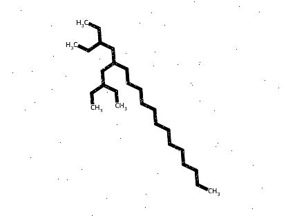 CCCCCCCCCCCCCC(CC(CC)CC)CC(CC)CC